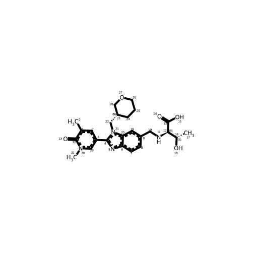 Cc1cc(-c2nc3ccc(CN[C@@H](C(=O)O)[C@H](C)O)cc3n2C[C@H]2CCCOC2)cn(C)c1=O